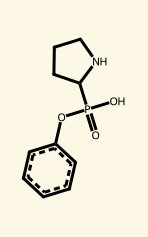 O=P(O)(Oc1ccccc1)C1CCCN1